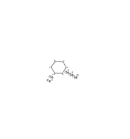 C1CCCCC1.[Te].[Te].[Te].[Te].[Te]